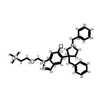 C[Si](C)(C)CCOCn1ncc2cc(C3(Cc4ccccc4)CCN(Cc4ccccc4)C3)c(Cl)cc21